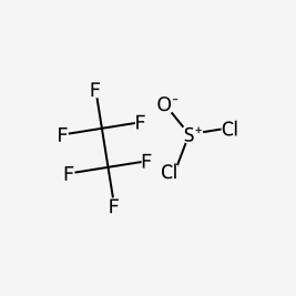 FC(F)(F)C(F)(F)F.[O-][S+](Cl)Cl